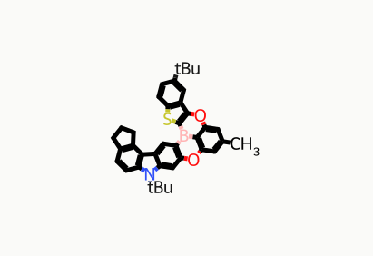 Cc1cc2c3c(c1)Oc1c(sc4ccc(C(C)(C)C)cc14)B3c1cc3c4c5c(ccc4n(C(C)(C)C)c3cc1O2)CCC5